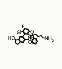 NCCCCC1(c2ccccc2)Cc2c(cc(F)c(Cl)c2-c2c(C(N)=O)cc3c(c2F)C(O)CC3)O1